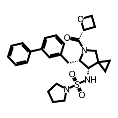 O=C([C@H]1CCO1)N1CC2(CC2)[C@H](NS(=O)(=O)N2CCCC2)[C@@H]1Cc1cccc(-c2ccccc2)c1